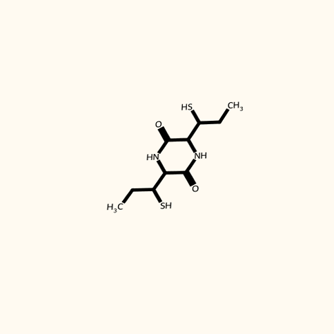 CCC(S)C1NC(=O)C(C(S)CC)NC1=O